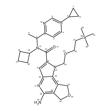 CC(c1ccc(C2CC2)cn1)N(C(=O)c1cc2nc(N)c3c(c2n1COCC[Si](C)(C)C)COC3)C1CCC1